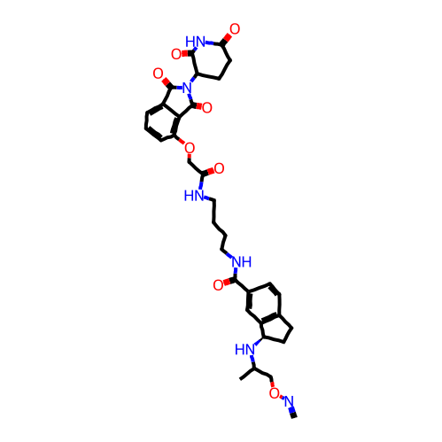 C=NOCC(C)N[C@@H]1CCc2ccc(C(=O)NCCCCNC(=O)COc3cccc4c3C(=O)N(C3CCC(=O)NC3=O)C4=O)cc21